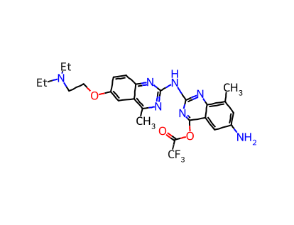 CCN(CC)CCOc1ccc2nc(Nc3nc(OC(=O)C(F)(F)F)c4cc(N)cc(C)c4n3)nc(C)c2c1